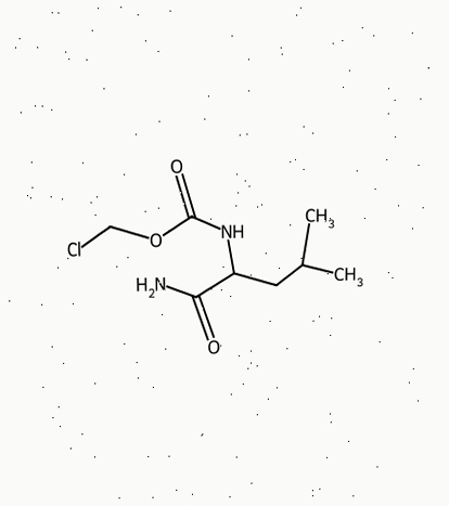 CC(C)CC(NC(=O)OCCl)C(N)=O